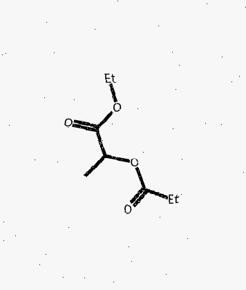 CCOC(=O)C(C)OC(=O)CC